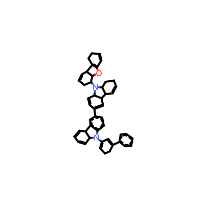 C1=CC2c3cc(C4=CC5C6C=CCCC6N(C6CC=CC7C8=C(C=CCC8)OC76)C5C=C4)ccc3N(C3=CCCC(c4ccccc4)=C3)C2C=C1